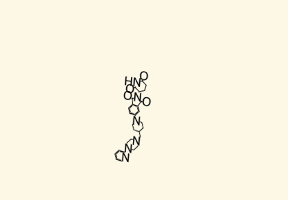 O=C1CCC(N2C(=O)c3ccc(N4CCC(CN5CCN(c6ccccn6)CC5)CC4)cc3C2=O)C(=O)N1